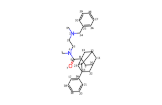 CN(CCN(C)C(=O)C12CC3CC(C1)CC(c1ccccc1)(C3)C2)Cc1ccccc1